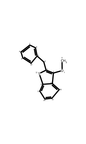 COc1c(Cc2ccccc2)sc2ccccc12